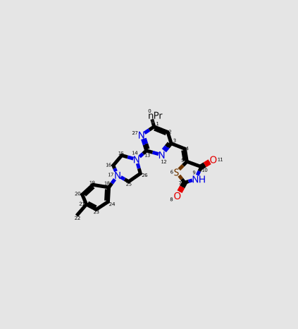 CCCc1cc(/C=C2\SC(=O)NC2=O)nc(N2CCN(c3ccc(C)cc3)CC2)n1